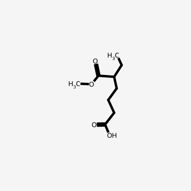 CCC(CCCC(=O)O)C(=O)OC